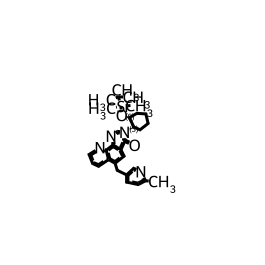 Cc1ccc(Cc2cc3c(=O)n([C@H]4CCCC[C@@H]4O[Si](C)(C)C(C)(C)C)cnc3c3ncccc23)cn1